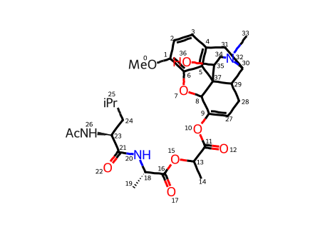 COc1ccc2c3c1OC1C(OC(=O)C(C)OC(=O)[C@H](C)NC(=O)[C@H](CC(C)C)NC(C)=O)=CCC4C(C2)N(C)CC(O)C314